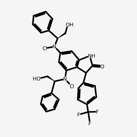 O=C1Nc2cc(N(Cl)[C@H](CO)c3ccccc3)cc(N(Cl)[C@H](CO)c3ccccc3)c2C1c1ccc(C(F)(F)F)cc1